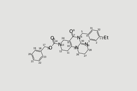 CCc1ccc(CN2C(=O)C3=C(CCN(C(=O)OCc4ccccc4)C3)N3CCCN=C23)cc1